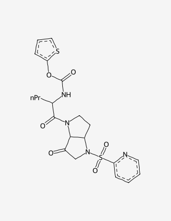 CCCC(NC(=O)Oc1cccs1)C(=O)N1CCC2C1C(=O)CN2S(=O)(=O)c1ccccn1